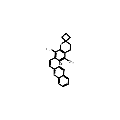 Cc1c(O)c(/C=C\c2ccc3ccccc3n2)c(C)c2c1CCC1(CCC1)O2